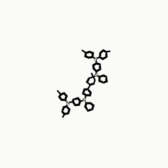 Cc1ccc(N(c2ccc(C)cc2)c2ccc(N(c3ccccc3)c3ccc(C4=CCC(C)(N(c5ccccc5)c5ccc(N(c6ccc(C)cc6)c6ccc(C)cc6)cc5)C=C4)cc3)cc2)cc1